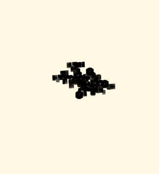 CC(C)C[C@H](NC(=O)[C@H](Cc1ccccc1)NC(=O)CNC(=O)[C@@H](C)NC(=O)[C@H](Cc1ccc(O)cc1)NC(=O)OCc1ccccc1)C(=O)N[C@@H](CCCNC(=N)N)C(=O)N[C@@H](CCCNC(=N)N)C(=O)O